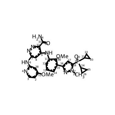 COc1ccnc(Nc2cc(Nc3cccc(-c4cc(P(=O)(C5CC5)C5CC5)n(C)n4)c3OC)c(C(N)=O)nn2)c1